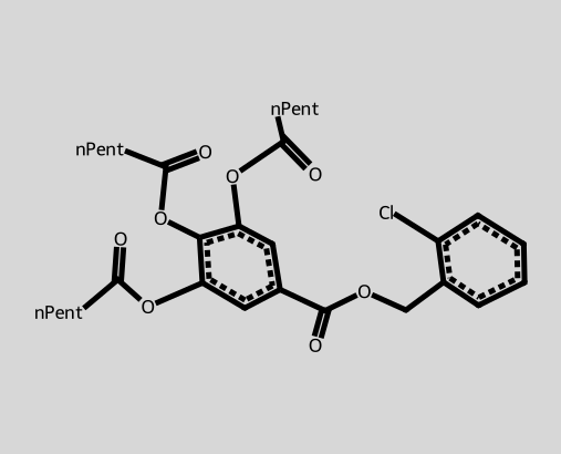 CCCCCC(=O)Oc1cc(C(=O)OCc2ccccc2Cl)cc(OC(=O)CCCCC)c1OC(=O)CCCCC